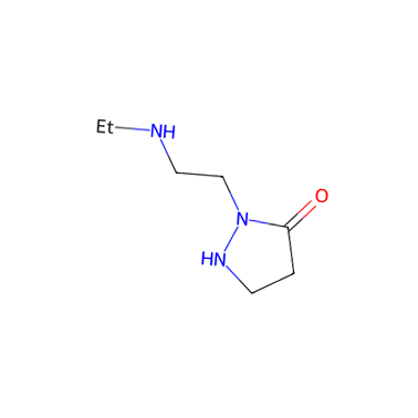 CCNCCN1NCCC1=O